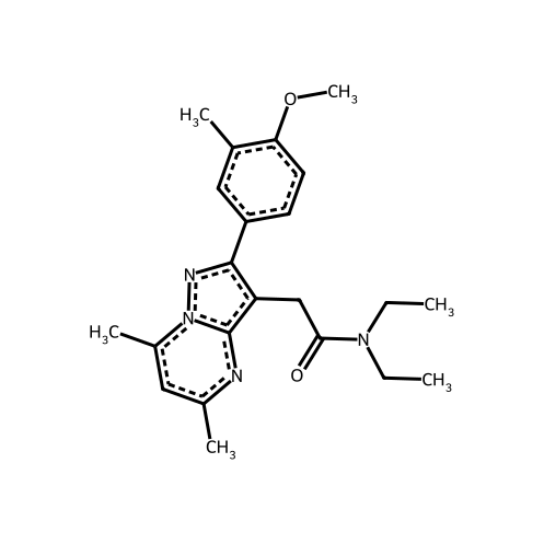 CCN(CC)C(=O)Cc1c(-c2ccc(OC)c(C)c2)nn2c(C)cc(C)nc12